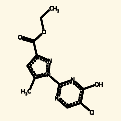 CCOC(=O)c1cc(C)n(-c2ncc(Cl)c(O)n2)n1